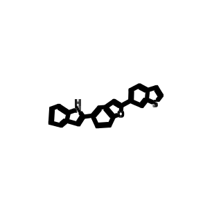 c1ccc2[nH]c(-c3ccc4oc(-c5ccc6ccsc6c5)cc4c3)cc2c1